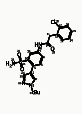 CC(C)(C)n1cc(-c2ccc(NC(=O)Cc3ccccc3Cl)cc2S(N)(=O)=O)cn1